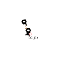 CCOC(=O)c1oc2ccc(SCc3ccccc3)cc2c1C